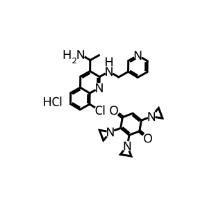 CC(N)c1cc2cccc(Cl)c2nc1NCc1cccnc1.Cl.O=C1C=C(N2CC2)C(=O)C(N2CC2)=C1N1CC1